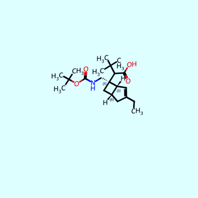 CCC1=C[C@@H]2[C@H](C1)C[C@@]2(CNC(=O)OC(C)(C)C)C(C(=O)O)C(C)(C)C